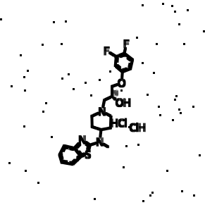 CN(c1nc2ccccc2s1)C1CCN(C[C@H](O)COc2ccc(F)c(F)c2)CC1.Cl.Cl